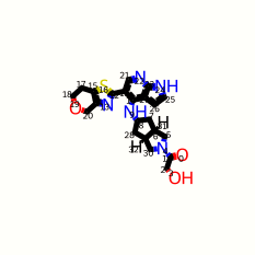 O=C(CO)N1C[C@H]2CC(Nc3c(-c4nc5c(s4)CCOC5)cnc4[nH]ccc34)C[C@H]2C1